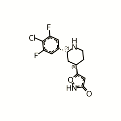 O=c1cc([C@@H]2CCN[C@@H](c3cc(F)c(Cl)c(F)c3)C2)o[nH]1